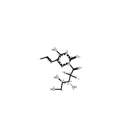 O=C(n1cc(/C=C/I)c(O)nc1=O)C(F)(F)[C@H](O)[C@H](O)CO